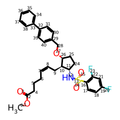 COC(=O)CCC/C=C\C[C@@H]1[C@@H](NS(=O)(=O)c2ccc(F)cc2F)CC[C@@H]1OCc1ccc(-c2ccccc2)cc1